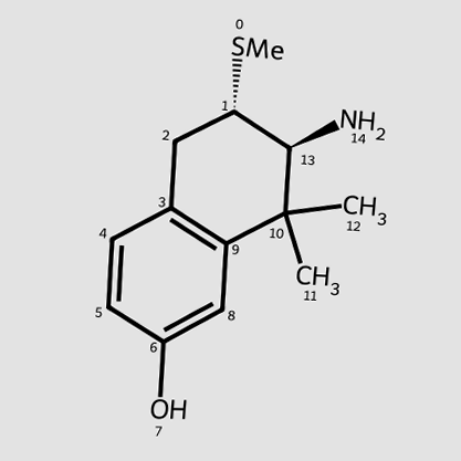 CS[C@H]1Cc2ccc(O)cc2C(C)(C)[C@@H]1N